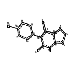 O=c1c2ncsc2[nH]c(=S)n1-c1ccc(Cl)cc1